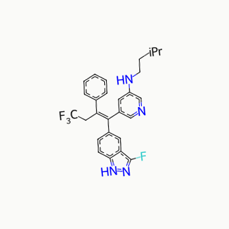 CC(C)CCNc1cncc(/C(=C(/CC(F)(F)F)c2ccccc2)c2ccc3[nH]nc(F)c3c2)c1